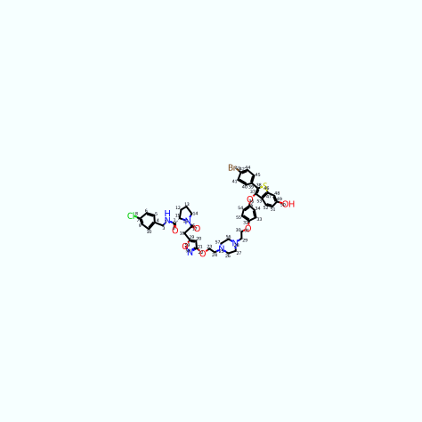 O=C(NCc1ccc(Cl)cc1)[C@@H]1CCCN1C(=O)Cc1cc(OCCN2CCN(CCOc3ccc(Oc4c(-c5ccc(Br)cc5)sc5cc(O)ccc45)cc3)CC2)no1